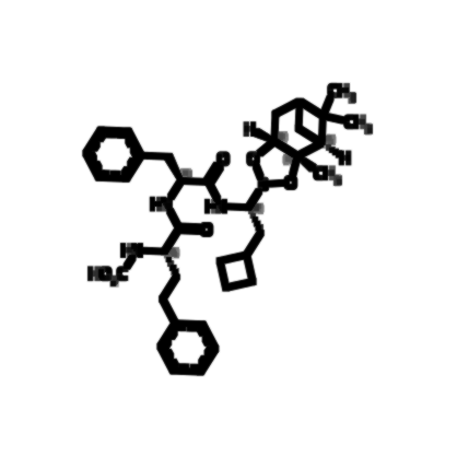 CC1(C)C2C[C@H]3OB([C@H](CC4CCC4)NC(=O)[C@H](Cc4ccccc4)NC(=O)[C@H](CCc4ccccc4)NC(=O)O)O[C@@]3(C)[C@H]1C2